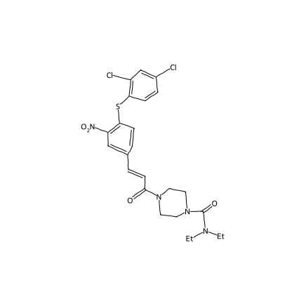 CCN(CC)C(=O)N1CCN(C(=O)C=Cc2ccc(Sc3ccc(Cl)cc3Cl)c([N+](=O)[O-])c2)CC1